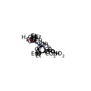 CCC(O[Si](CC)(CC)CC)C(C)[C@H]1O[C@@H]1CC(C)(/C=C/C=C(\C)[C@H]1OC(=O)C[C@H](O[Si](CC)(CC)CC)CC[C@](C)(CC(=O)O)[C@@H](OC(=O)Oc2ccc([N+](=O)[O-])cc2)/C=C/[C@@H]1C)O[Si](CC)(CC)CC